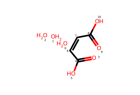 O.O.O.O=C(O)/C=C\C(=O)O